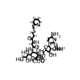 Nc1ccn([C@@H]2O[C@H](COP(=O)([O-])OC3(C(=O)[O-])CC(O)[C@@H](NC(=O)CNC(=O)CCSSc4ccccn4)[C@H](C(O)[C@H](O)CO)O3)[C@@H](O)[C@H]2O)c(=O)n1.[Na+].[Na+]